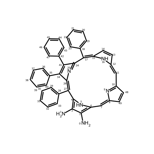 Nc1c(N)c2[nH]c1cc1nc(cc3ccc([nH]3)c(-c3ccccc3)c3nc(c2-c2ccccc2)C(c2ccccc2)=C3c2ccccc2)C=C1